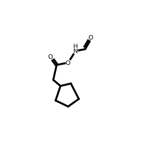 O=CNOC(=O)CC1CCCC1